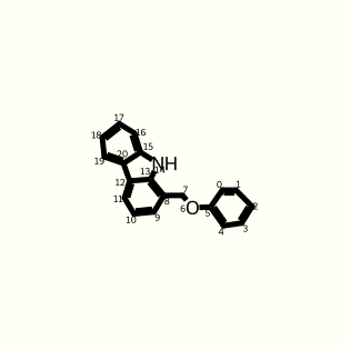 [c]1ccccc1OCc1cccc2c1[nH]c1ccccc12